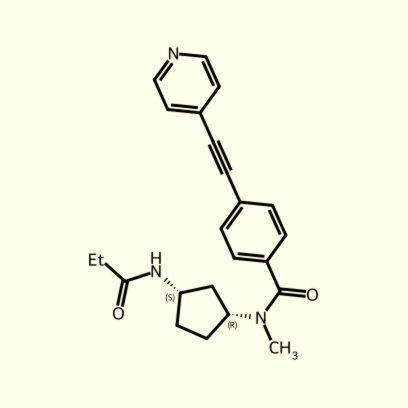 CCC(=O)N[C@H]1CC[C@@H](N(C)C(=O)c2ccc(C#Cc3ccncc3)cc2)C1